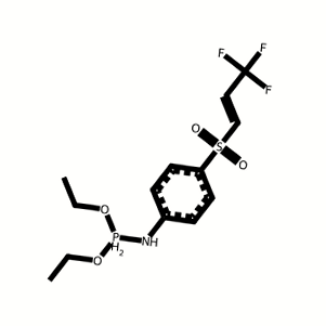 CCO[PH2](Nc1ccc(S(=O)(=O)C=CC(F)(F)F)cc1)OCC